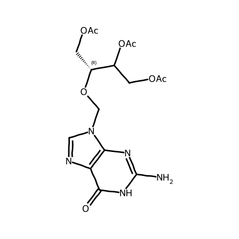 CC(=O)OCC(OC(C)=O)[C@@H](COC(C)=O)OCn1cnc2c(=O)[nH]c(N)nc21